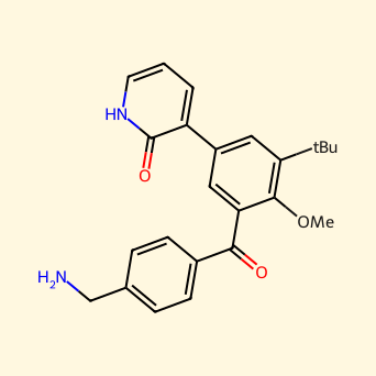 COc1c(C(=O)c2ccc(CN)cc2)cc(-c2ccc[nH]c2=O)cc1C(C)(C)C